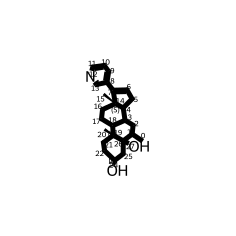 CC1CC2C3CC=C(c4cccnc4)[C@@]3(C)CCC2[C@@]2(C)CC[C@H](O)CC12O